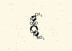 Cn1cnc(S(=O)(=O)N2CCOc3nc([N+](=O)[O-])cn3CC2)c1